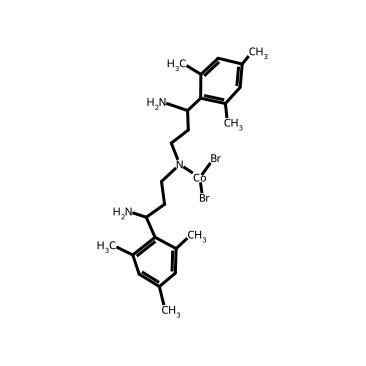 Cc1cc(C)c(C(N)CC[N](CCC(N)c2c(C)cc(C)cc2C)[Co]([Br])[Br])c(C)c1